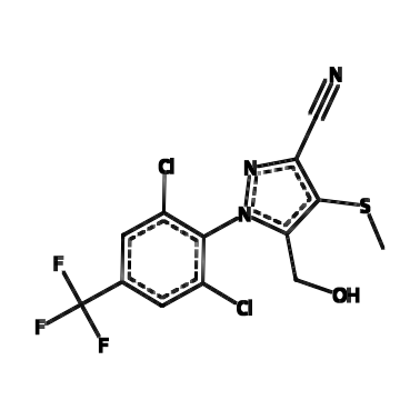 CSc1c(C#N)nn(-c2c(Cl)cc(C(F)(F)F)cc2Cl)c1CO